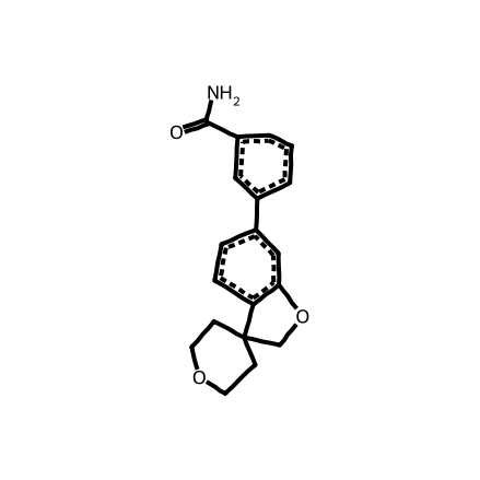 NC(=O)c1cccc(-c2ccc3c(c2)OCC32CCOCC2)c1